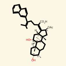 CC(=O)O[C@H]1C[C@@]2(C)[C@H](C[C@@H](O)[C@@H]3[C@@]4(C)CC[C@@H](O)[C@@H](C)C4CC[C@@]32C)C1=C(CCC(=C(C)C)c1ccc2ccccc2c1)C(=O)O